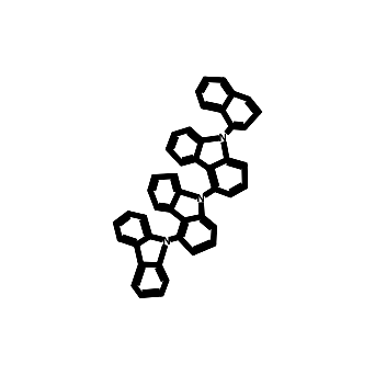 c1ccc2c(-n3c4ccccc4c4c(-n5c6ccccc6c6c(-n7c8ccccc8c8ccccc87)cccc65)cccc43)cccc2c1